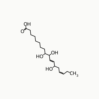 CC/C=C\CC(O)/C=C/C(O)C(O)CCCCCCCC(=O)O